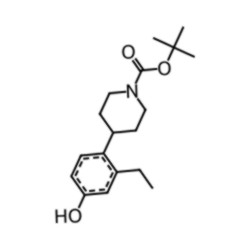 CCc1cc(O)ccc1C1CCN(C(=O)OC(C)(C)C)CC1